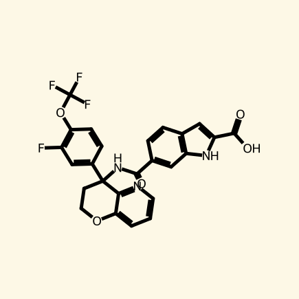 O=C(NC1(c2ccc(OC(F)(F)F)c(F)c2)CCOc2cccnc21)c1ccc2cc(C(=O)O)[nH]c2c1